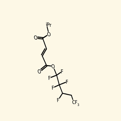 CC(C)OC(=O)C=CC(=O)OC(F)(F)C(F)(F)C(F)CC(F)(F)F